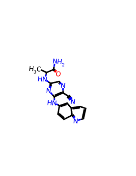 CC(Nc1cnc(C#N)c(Nc2ccc3ncccc3c2)n1)C(N)=O